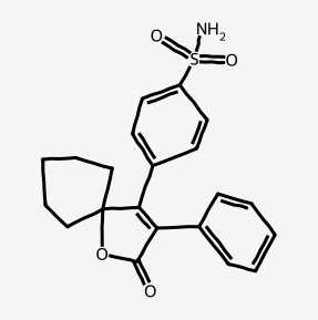 NS(=O)(=O)c1ccc(C2=C(c3ccccc3)C(=O)OC23CCCCC3)cc1